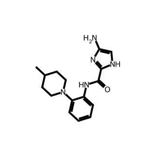 CC1CCN(c2ccccc2NC(=O)c2nc(N)c[nH]2)CC1